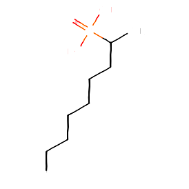 CCCCCCCC(C)P(=O)(O)O